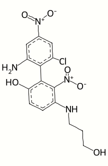 Nc1cc([N+](=O)[O-])cc(Cl)c1-c1c(O)ccc(NCCCO)c1[N+](=O)[O-]